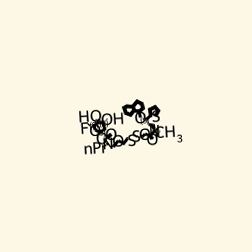 CCCN(COCCSSCOC(=O)N(C)CC[C@H](Oc1cccc2ccccc12)c1cccs1)C(=O)O[C@H]1C[C@@H](O)[C@@H](O)[C@@H](CF)O1